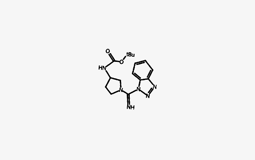 CC(C)(C)OC(=O)NC1CCN(C(=N)n2nnc3ccccc32)C1